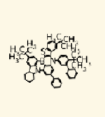 CC(C)(C)c1cc2c3c(c1)C1CCCCC1N3c1cc(-c3ccccc3)cc3c1B2c1sc2ccc(C(C)(C)C)cc2c1N3c1ccc(C(C)(C)C)c(-c2ccccc2)c1